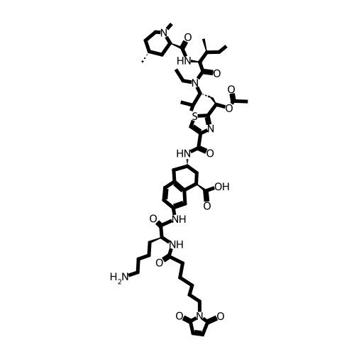 CC[C@H](C)[C@H](NC(=O)[C@H]1C[C@H](C)CCN1C)C(=O)N(CC)[C@H](C[C@@H](OC(C)=O)c1nc(C(=O)N[C@H]2Cc3ccc(NC(=O)[C@H](CCCCN)NC(=O)CCCCCN4C(=O)C=CC4=O)cc3[C@H](C(=O)O)C2)cs1)C(C)C